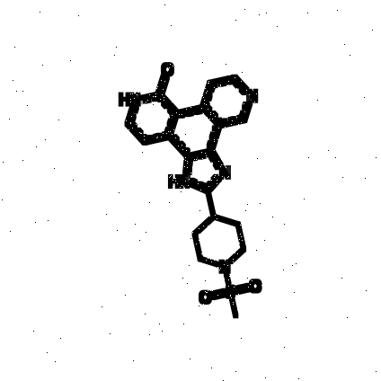 CS(=O)(=O)N1CCC(c2nc3c4cnccc4c4c(=O)[nH]ccc4c3[nH]2)CC1